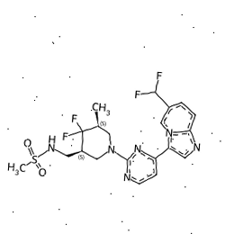 C[C@H]1CN(c2nccc(-c3cnc4ccc(C(F)F)cn34)n2)C[C@@H](CNS(C)(=O)=O)C1(F)F